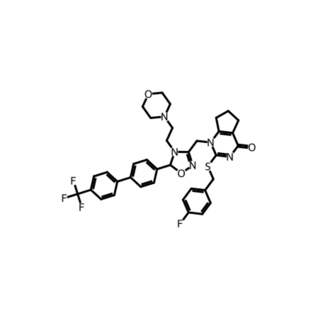 O=c1nc(SCc2ccc(F)cc2)n(CC2=NOC(c3ccc(-c4ccc(C(F)(F)F)cc4)cc3)N2CCN2CCOCC2)c2c1CCC2